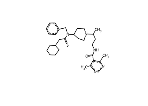 Cc1ncnc(C)c1C(=O)NCCC(C)N1CCC(N(Cc2ccccc2)C(=S)CC2CCCCC2)CC1